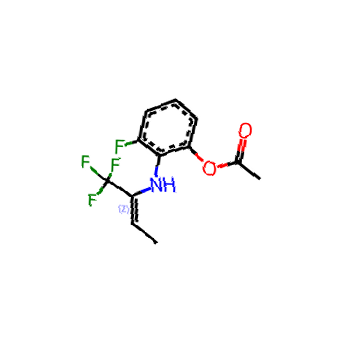 C/C=C(\Nc1c(F)cccc1OC(C)=O)C(F)(F)F